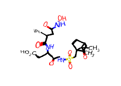 CC(C)C(CC(=O)NO)C(=O)NC(CC(=O)O)C(=O)CNS(=O)(=O)CC12CCC(CC1=O)C2(C)C